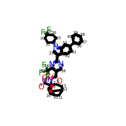 O=C(NC1(C(=O)O)C2CCC3CC(C2)CC1C3)c1cnc(-c2cn(C3CCC(F)(F)CC3)c3cc(-c4ccccc4)ccc23)nc1C(F)(F)F